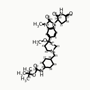 COC1(c2ccc3c(c2)n(C)c(=O)n3C2CCC(=O)NC2=O)CCN(CC2CCC(NC(=O)OC(C)(C)C)CC2)CC1